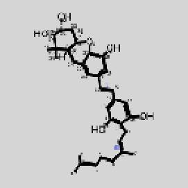 CC(C)=CCC/C(C)=C/Cc1c(O)cc(/C=C/c2cc(O)c3c(c2)C[C@@H]2C(C)(C)[C@H](O)[C@H](O)C[C@@]2(C)O3)cc1O